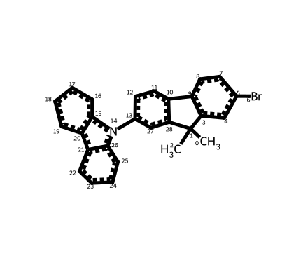 CC1(C)c2cc(Br)ccc2-c2ccc(-n3c4ccccc4c4ccccc43)cc21